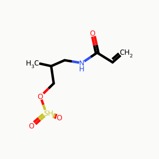 C=CC(=O)NCC(C)CO[SH](=O)=O